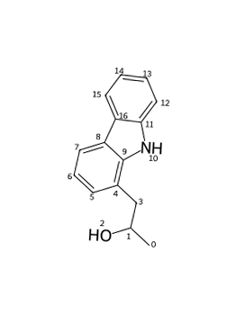 CC(O)Cc1cccc2c1[nH]c1ccccc12